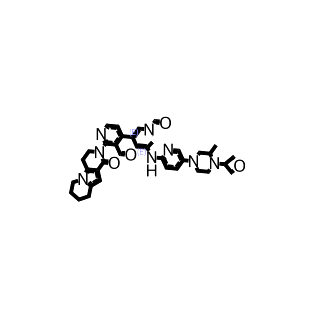 C/C(=C\C(=C/N(C)C=O)c1ccnc(N2CCc3c(cc4n3CCCC4)C2=O)c1C=O)Nc1ccc(N2CCN(C3COC3)C(C)C2)cn1